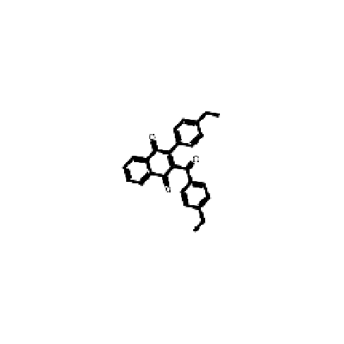 CCc1ccc(C(=O)C2=C(c3ccc(CC)cc3)C(=O)c3ccccc3C2=O)cc1